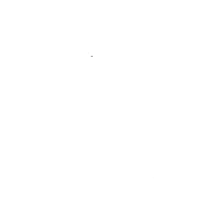 O=C1CCCn2cc(C#Cc3cccs3)cc21